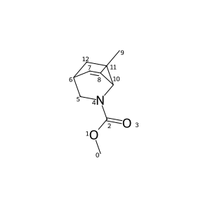 COC(=O)N1CC2C=C(C)C1CC2